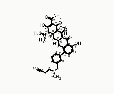 CN(CCC#N)Cc1cccc(-c2ccc(O)c3c2C[C@H]2C[C@H]4[C@H](N(C)C)C(O)=C(C(N)=O)C(=O)[C@@]4(O)C(O)=C2C3=O)c1